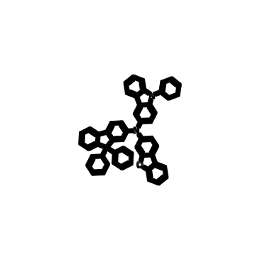 C1=CCCC(n2c3ccccc3c3cc(N(c4ccc5c(c4)C(c4ccccc4)(C4C=CC=CC4)c4ccccc4-5)c4ccc5c(c4)oc4ccccc45)ccc32)=C1